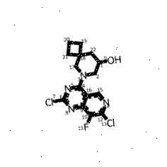 OC1CN(c2nc(Cl)nc3c(F)c(Cl)ncc23)CC2(CCC2)C1